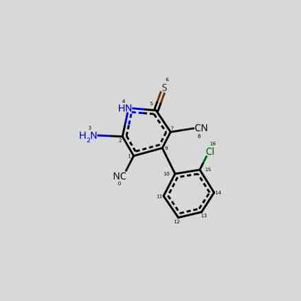 N#Cc1c(N)[nH]c(=S)c(C#N)c1-c1ccccc1Cl